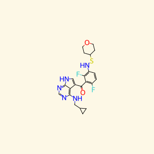 O=C(c1c(F)ccc(NSC2CCOCC2)c1F)c1c[nH]c2ncnc(NCC3CC3)c12